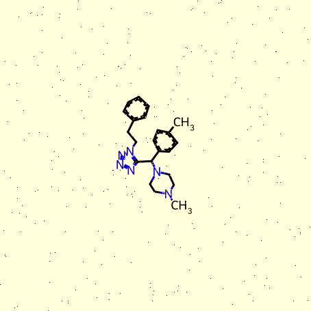 Cc1ccc(C(c2nnnn2CCc2ccccc2)N2CCN(C)CC2)cc1